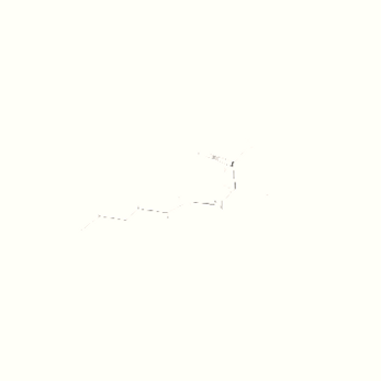 CCCCCSN[C@@H](C)C(=O)O